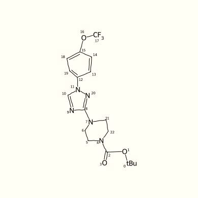 CC(C)(C)OC(=O)N1CCN(c2ncn(-c3ccc(OC(F)(F)F)cc3)n2)CC1